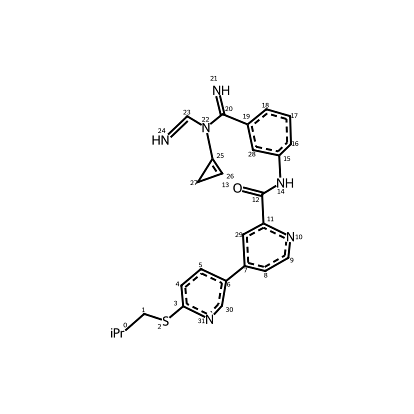 CC(C)CSc1ccc(-c2ccnc(C(=O)Nc3cccc(C(=N)N(C=N)C4=CC4)c3)c2)cn1